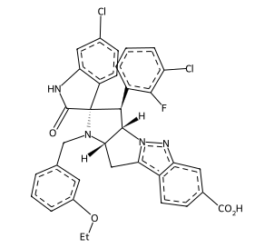 CCOc1cccc(CN2[C@H]3Cc4c5ccc(C(=O)O)cc5nn4[C@H]3[C@H](c3cccc(Cl)c3F)[C@]23C(=O)Nc2cc(Cl)ccc23)c1